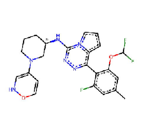 Cc1cc(F)c(-c2nnc(N[C@@H]3CCCN(C4=CNOC=C4)C3)n3cccc23)c(OC(F)F)c1